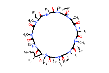 CC[C@H]1NC(=O)[C@@H]([C@H](O)[C@H](C)CNC)N(C)C(=O)[C@@H](C(C)C)N(C)C(=O)[C@@H](CC(C)C)N(C)C(=O)[C@@H](CC(C)C)N(C)C(=O)[C@H](C)NC(=O)[C@@H](C)NC(=O)[C@@H](CC(C)C)N(C)C(=O)[C@@H](C(C)C)NC(=O)[C@H](CC(C)C)N(C)C(=O)CN(C)C1=O